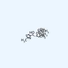 C=C[C@H](CC(O)c1csc(C)n1)O[Si](C)(C)C(C)(C)C